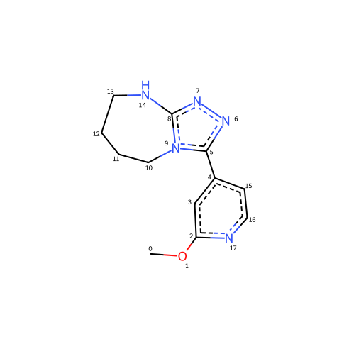 COc1cc(-c2nnc3n2CCCCN3)ccn1